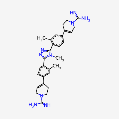 Cc1cc(C2=CCN(C(=N)N)CC2)ccc1-c1nnc(-c2ccc(C3=CCN(C(=N)N)CC3)cc2C)n1C